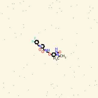 CC(C)n1c(=O)[nH]c2cc(OCCNC(=O)c3cccn(Cc4ccc(F)c(F)c4)c3=O)ccc21